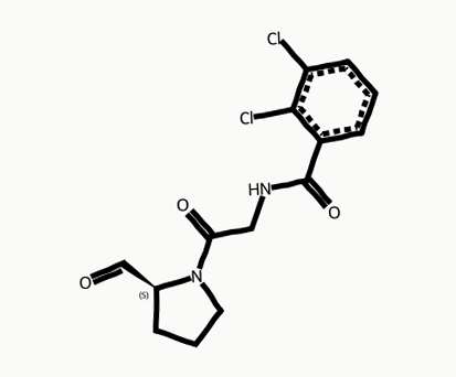 O=C[C@@H]1CCCN1C(=O)CNC(=O)c1cccc(Cl)c1Cl